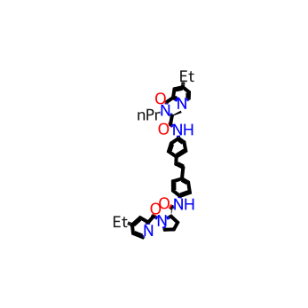 CCCN(C(=O)c1cc(CC)ccn1)[C@@H](C)C(=O)Nc1ccc(/C=C/c2ccc(NC(=O)[C@@H]3CCCN3C(=O)c3cc(CC)ccn3)cc2)cc1